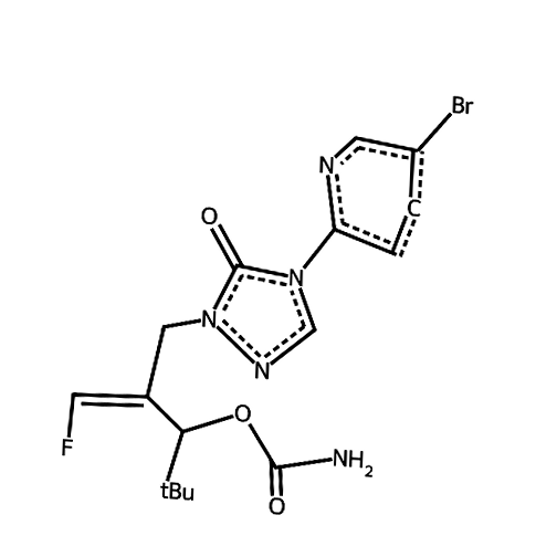 CC(C)(C)C(OC(N)=O)C(=CF)Cn1ncn(-c2ccc(Br)cn2)c1=O